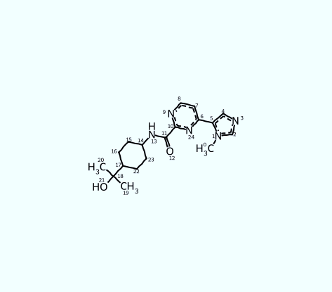 Cn1cncc1-c1ccnc(C(=O)NC2CCC(C(C)(C)O)CC2)n1